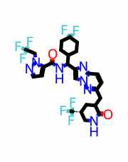 O=C(NC(c1cn2nc(CC3C[C@@H](C(F)(F)F)CNC3=O)ccc2n1)C1CCC(F)(F)CC1)c1ccnn1CC(F)(F)F